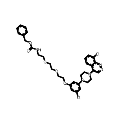 O=C(NCCOCCOCCOc1cc(Cl)cc(N2CCN(c3cnnc4c(Cl)cccc34)CC2)c1)OCc1ccccc1